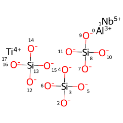 [Al+3].[Nb+5].[O-][Si]([O-])([O-])[O-].[O-][Si]([O-])([O-])[O-].[O-][Si]([O-])([O-])[O-].[Ti+4]